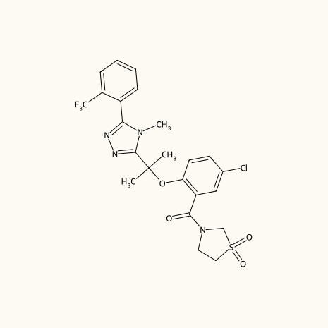 Cn1c(-c2ccccc2C(F)(F)F)nnc1C(C)(C)Oc1ccc(Cl)cc1C(=O)N1CCS(=O)(=O)C1